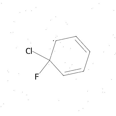 FC1(Cl)[CH]C=CC=C1